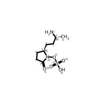 C[C@@H](N)CC[C@@H]1CCC(=O)N1OS(=O)(=O)O